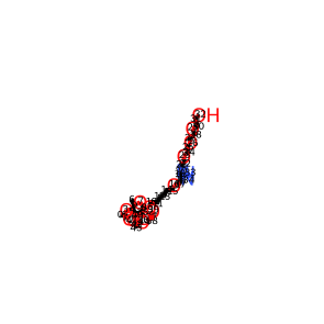 CC(=O)OC1C(C)OC(OCCCCCCOCc2cn(CCOCCOCCOCCO)nn2)C(OC(C)=O)C1OC(C)=O